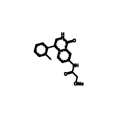 COCC(=O)Nc1ccc2c(-c3ccccc3C)c[nH]c(=O)c2c1